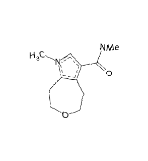 CNC(=O)c1cn(C)c2c1CCOCC2